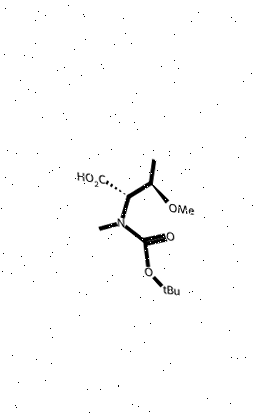 CO[C@H](C)[C@@H](C(=O)O)N(C)C(=O)OC(C)(C)C